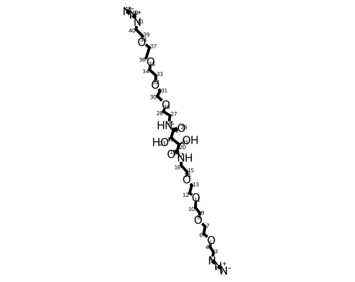 [N-]=[N+]=NCCOCCOCCOCCOCCNC(=O)[C@H](O)[C@@H](O)C(=O)NCCOCCOCCOCCOCCN=[N+]=[N-]